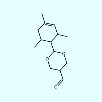 CC1=CC(C)C(C2OCC(C=O)CO2)C(C)C1